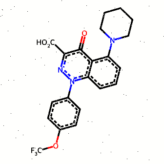 O=C(O)c1nn(-c2ccc(OC(F)(F)F)cc2)c2cccc(N3CCCCC3)c2c1=O